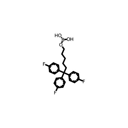 OB(O)OCCCCCC(c1ccc(F)cc1)(c1ccc(F)cc1)c1ccc(F)cc1